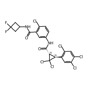 O=C(NC1CC(F)(F)C1)c1cc(NC(=O)[C@@H]2[C@@H](c3cc(Cl)c(Cl)cc3Cl)C2(Cl)Cl)ccc1Cl